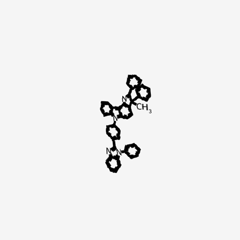 CC1(c2ccccc2)C(c2ccccc2)=Nc2c1ccc1c2c2ccccc2n1-c1ccc(-c2nc3ccccc3n2-c2ccccc2)cc1